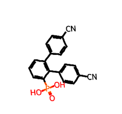 N#Cc1ccc(-c2cccc(P(=O)(O)O)c2-c2ccc(C#N)cc2)cc1